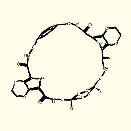 O=C1NCc2ccc(cc2)CNC(=O)c2[nH]c(c3c2OCCO3)C(=O)NC[C@H]2CC[C@H](CC2)CNC(=O)c2[nH]c1c1c2OCCO1